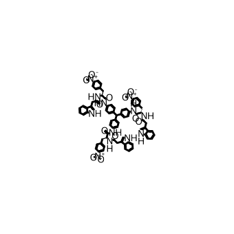 O=C(Cc1c[nH]c2ccccc12)N[C@@H](Cc1ccc([N+](=O)[O-])cc1)C(=O)Nc1ccc(C(c2ccc(NC(=O)[C@H](Cc3ccc([N+](=O)[O-])cc3)NC(=O)Cc3c[nH]c4ccccc34)cc2)c2ccc(NC(=O)[C@H](Cc3ccc([N+](=O)[O-])cc3)NC(=O)Cc3c[nH]c4ccccc34)cc2)cc1